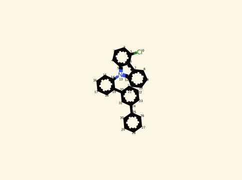 Clc1cccc2c1c1ccccc1n2-c1ccccc1-c1cccc(-c2ccccc2)c1